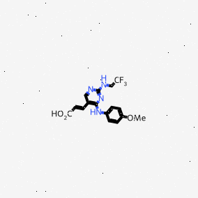 COc1ccc(Nc2nc(NCC(F)(F)F)ncc2/C=C/C(=O)O)cc1